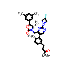 COC(=O)CCc1ccc(OC)c(-c2cnc(N3CC(F)C3)nc2CN2C(=O)OC(c3cc(C(F)(F)F)cc(C(F)(F)F)c3)[C@@H]2C)c1